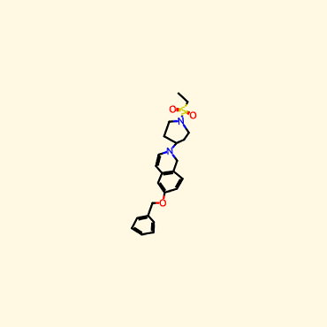 CCS(=O)(=O)N1CCC(N2C=Cc3cc(OCc4ccccc4)ccc3C2)CC1